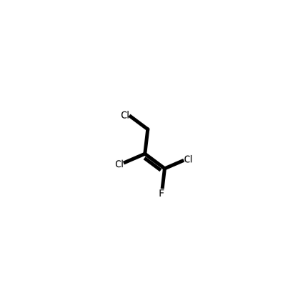 F/C(Cl)=C(\Cl)CCl